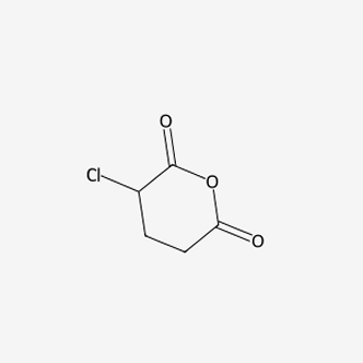 O=C1CCC(Cl)C(=O)O1